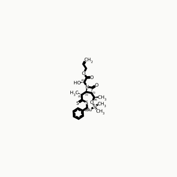 C=CCOC(=O)[C@@H](O)N1C(=O)[C@H]([C@@H](C)O[Si](C)(C)C(C)(C)C)[C@H]1[C@@H](C)C(=S)SCc1ccccc1